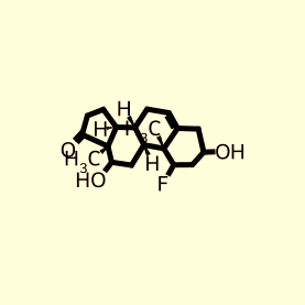 C[C@@]12C(=O)CC[C@H]1[C@@H]1CC=C3CC(O)CC(F)[C@]3(C)[C@@H]1CC2O